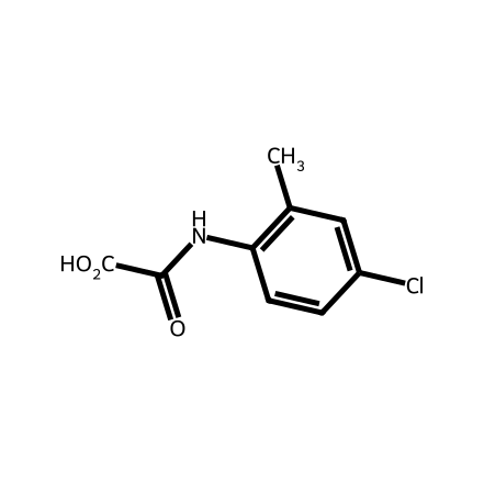 Cc1cc(Cl)ccc1NC(=O)C(=O)O